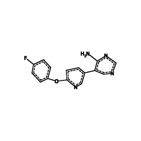 Nc1ncncc1-c1ccc(Oc2ccc(F)cc2)nc1